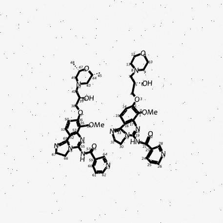 COc1c(OC[C@@H](O)CN2CCOCC2)ccc2c1N=C(NC(=O)c1cccnc1)N1CCN=C21.COc1c(OC[C@H](O)CN2C[C@@H](C)O[C@@H](C)C2)ccc2c1N=C(NC(=O)c1cccnc1)N1CCN=C21